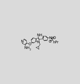 CCCS(=O)(=O)Nc1ccc(-c2c(N)c3ccc(Oc4ccncc4N)cc3n2CC2CC2)cc1